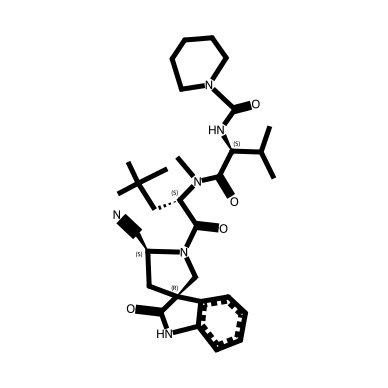 CC(C)[C@H](NC(=O)N1CCCCC1)C(=O)N(C)[C@@H](CC(C)(C)C)C(=O)N1C[C@]2(C[C@H]1C#N)C(=O)Nc1ccccc12